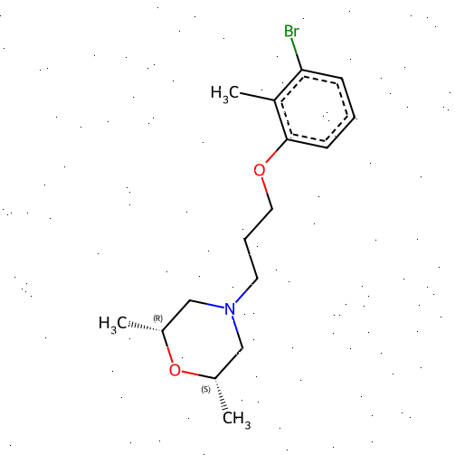 Cc1c(Br)cccc1OCCCN1C[C@@H](C)O[C@@H](C)C1